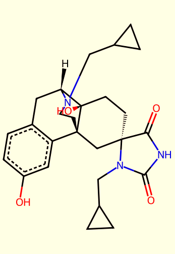 O=C1NC(=O)[C@@]2(CC[C@@]3(O)[C@H]4Cc5ccc(O)cc5[C@@]3(CCN4CC3CC3)C2)N1CC1CC1